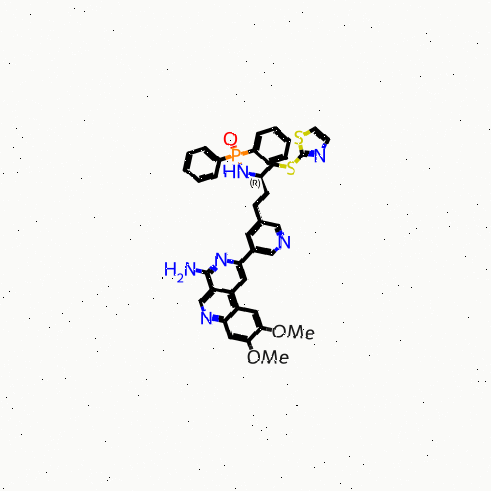 COc1cc2ncc3c(N)nc(-c4cncc(CC[C@H](CSc5nccs5)NP(=O)(c5ccccc5)c5ccccc5)c4)cc3c2cc1OC